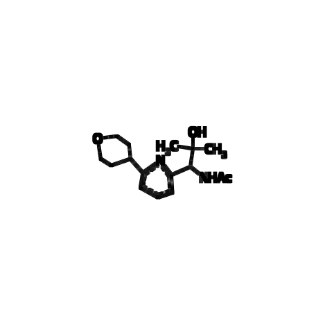 CC(=O)NC(c1cccc(C2CCOCC2)n1)C(C)(C)O